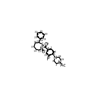 CC(=O)N1CCN(c2ccc(C(=O)[N+]3([O-])CCCCC(c4ccccc4)S3)cc2F)CC1